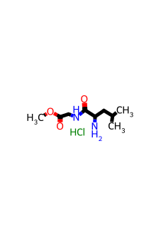 COC(=O)CNC(=O)C(N)CC(C)C.Cl